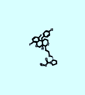 CC(C)(C)OC(=O)N1CCC[C@H]1CSCC[C@@H]1OCC[C@@]2(Cc3ccc(Cl)cc3)c3c(F)ccc(F)c3OC[C@@H]12